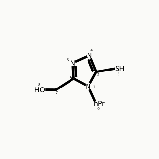 CCCn1c(S)nnc1CO